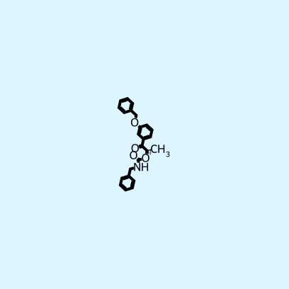 C[C@H](OC(=O)NCc1ccccc1)C(=O)c1cccc(OCc2ccccc2)c1